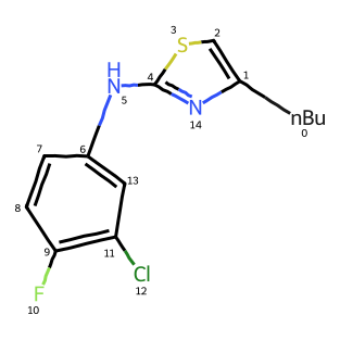 CCCCc1csc(Nc2ccc(F)c(Cl)c2)n1